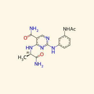 CC(=O)Nc1cccc(Nc2ncc(C(N)=O)c(N[C@H](C)C(N)=O)n2)c1